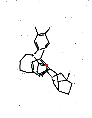 Cc1cc(N2CC3CC[C@@H](C2)[C@@H]3Nc2nc3n(n2)CCCCN3c2ccc(F)c(F)c2)ncn1